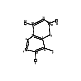 Cc1c(Cl)ncc2c1CN(Cl)C=C2Cl